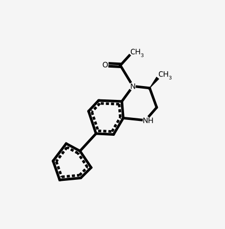 CC(=O)N1c2ccc(-c3ccccc3)cc2NC[C@@H]1C